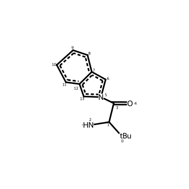 CC(C)(C)C([NH])C(=O)n1cc2ccccc2c1